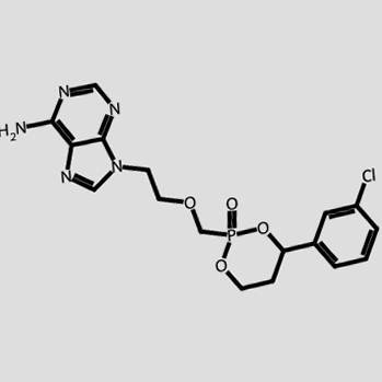 Nc1ncnc2c1ncn2CCOCP1(=O)OCCC(c2cccc(Cl)c2)O1